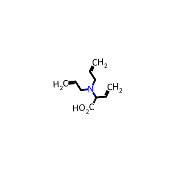 C=CCN(CC=C)C(C=C)C(=O)O